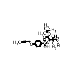 CC#CCOc1ccc(S(=O)(=O)NC(C(=O)OC(C)(C)C)C(C)(C)CS)cc1